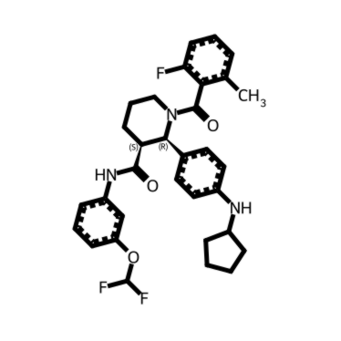 Cc1cccc(F)c1C(=O)N1CCC[C@H](C(=O)Nc2cccc(OC(F)F)c2)[C@@H]1c1ccc(NC2CCCC2)cc1